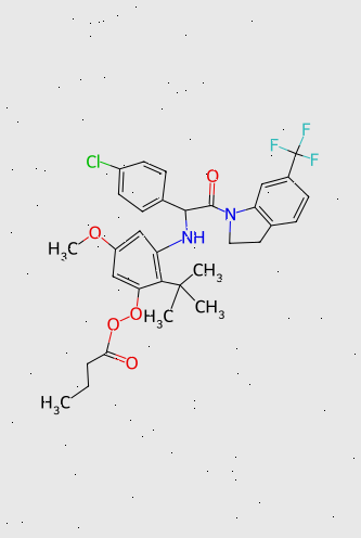 CCCC(=O)OOc1cc(OC)cc(NC(C(=O)N2CCc3ccc(C(F)(F)F)cc32)c2ccc(Cl)cc2)c1C(C)(C)C